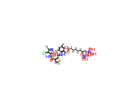 Cc1cc(C)c(OC(=O)CCCCCC(CON(O)O)ON(O)O)c(C)c1NC(=O)c1sccc1S(=O)(=O)Nc1onc(C)c1Cl